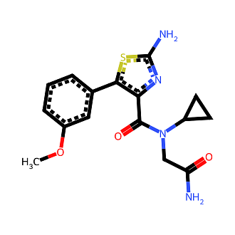 COc1cccc(-c2sc(N)nc2C(=O)N(CC(N)=O)C2CC2)c1